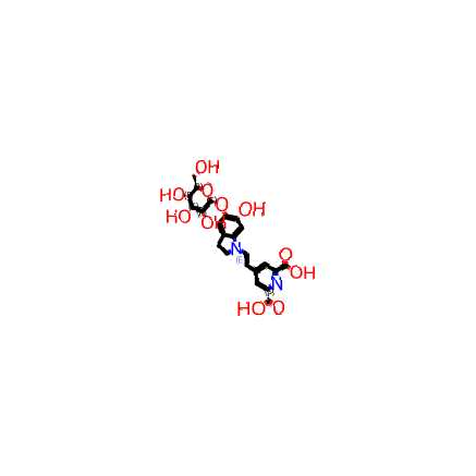 O=C(O)C1=N[C@H](C(=O)O)CC(/C=C/N2CCc3cc(O[C@@H]4O[C@H](CO)[C@@H](O)[C@H](O)[C@H]4O)c(O)cc32)=C1